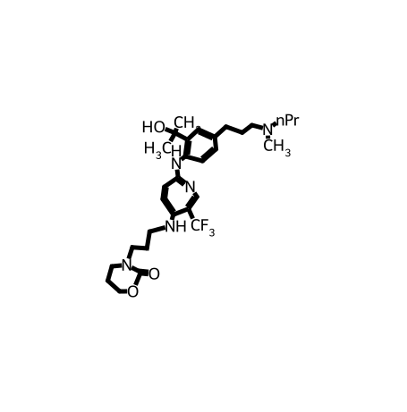 CCCN(C)CCCc1ccc(NC2=NC=C(C(F)(F)F)C(NCCCN3CCCOC3=O)=C=C2)c(C(C)(C)O)c1